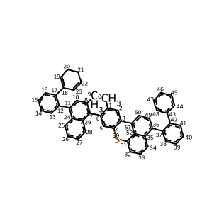 Cc1cc2c(cc1-c1c(C)cc(-c3ccccc3C3=CCCC=C3)c3ccccc13)Sc1cccc3c(-c4ccccc4-c4ccccc4)ccc-2c13